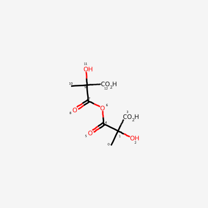 CC(O)(C(=O)O)C(=O)OC(=O)C(C)(O)C(=O)O